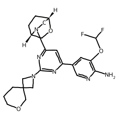 Nc1ncc(-c2cc(N3C[C@@H]4CC[C@H]3CO4)nc(N3CC4(CCCOC4)C3)n2)cc1OC(F)F